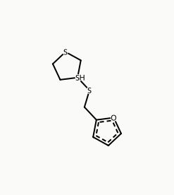 c1coc(CS[SH]2CCSC2)c1